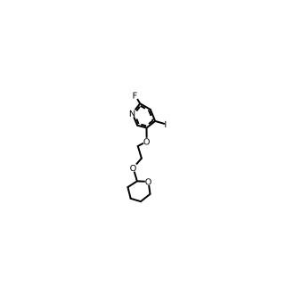 Fc1cc(I)c(OCCOC2CCCCO2)cn1